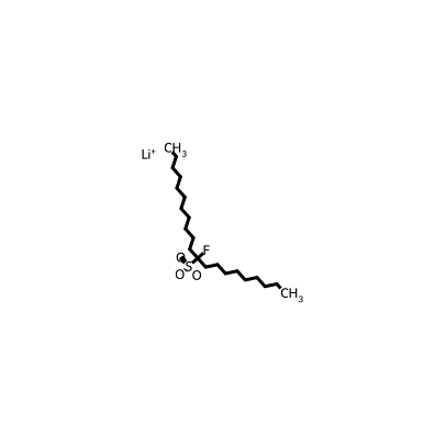 CCCCCCCCCCCC(F)(CCCCCCCCC)S(=O)(=O)[O-].[Li+]